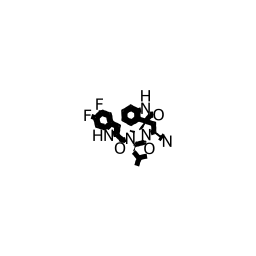 CC(C)C[C@@H](C(=O)N1C[C@]2(C[C@H]1C#N)C(=O)Nc1ccccc12)N(C)C(=O)c1cc2cc(F)c(F)cc2[nH]1